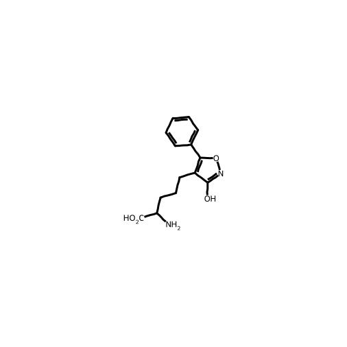 NC(CCCc1c(O)noc1-c1ccccc1)C(=O)O